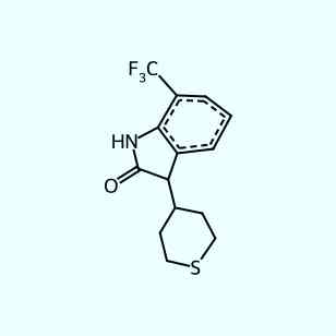 O=C1Nc2c(cccc2C(F)(F)F)C1C1CCSCC1